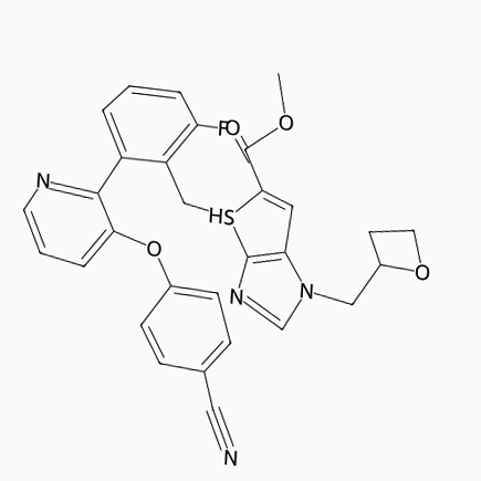 COC(=O)C1=Cc2c(ncn2CC2CCO2)[SH]1Cc1c(F)cccc1-c1ncccc1Oc1ccc(C#N)cc1